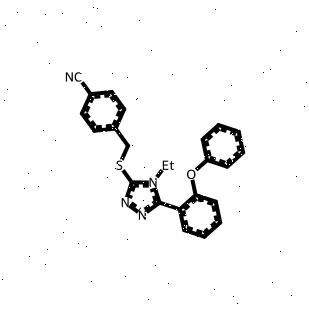 CCn1c(SCc2ccc(C#N)cc2)nnc1-c1ccccc1Oc1ccccc1